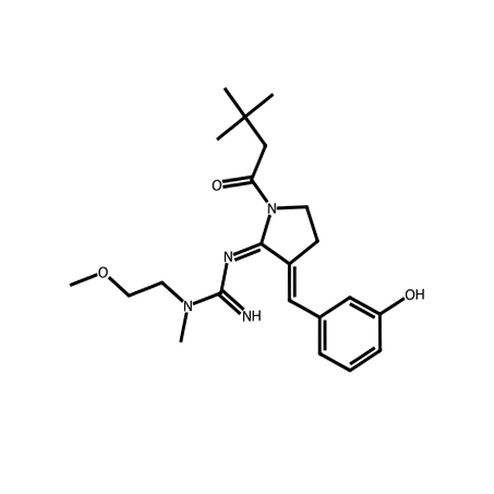 COCCN(C)C(=N)/N=C1\C(=C\c2cccc(O)c2)CCN1C(=O)CC(C)(C)C